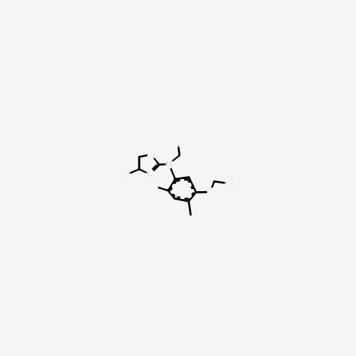 Cc1cc(F)c(N(CC(F)(F)F)C2=NC(O)CS2)cc1SCC(F)(F)F